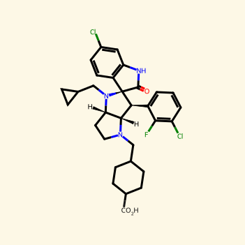 O=C(O)C1CCC(CN2CC[C@H]3[C@@H]2[C@H](c2cccc(Cl)c2F)[C@]2(C(=O)Nc4cc(Cl)ccc42)N3CC2CC2)CC1